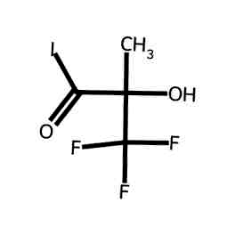 CC(O)(C(=O)I)C(F)(F)F